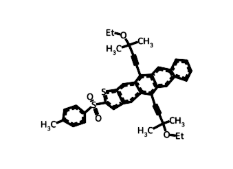 CCOC(C)(C)C#Cc1c2cc3ccccc3cc2c(C#CC(C)(C)OCC)c2cc3sc(S(=O)(=O)c4ccc(C)cc4)cc3cc12